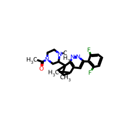 CC(=O)N1CCN(C)C(C23CCC(c4cc(-c5c(F)cccc5F)nnc42)C3(C)C)C1